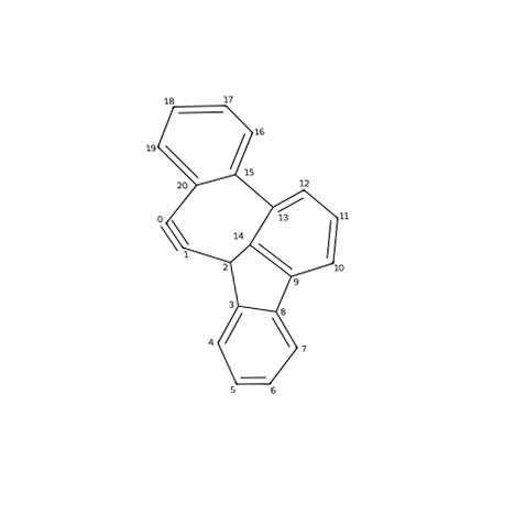 C1#CC2c3ccccc3-c3cccc(c32)-c2ccccc21